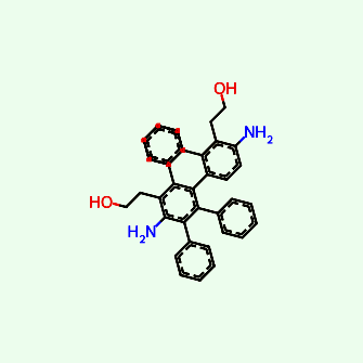 Nc1ccc(-c2c(-c3ccccc3)c(CCO)c(N)c(-c3ccccc3)c2-c2ccccc2)c(-c2ccccc2)c1CCO